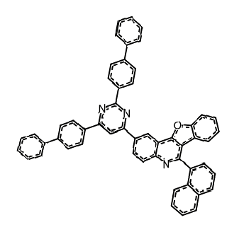 c1ccc(-c2ccc(-c3cc(-c4ccc5nc(-c6cccc7ccccc67)c6c7ccccc7oc6c5c4)nc(-c4ccc(-c5ccccc5)cc4)n3)cc2)cc1